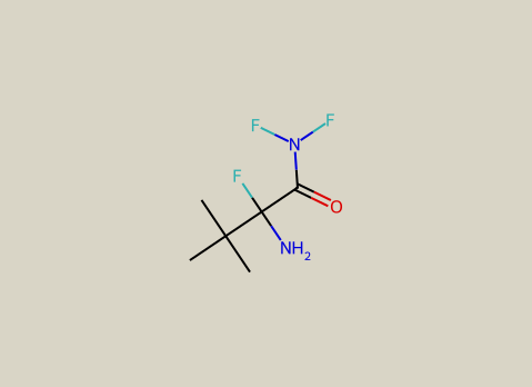 CC(C)(C)C(N)(F)C(=O)N(F)F